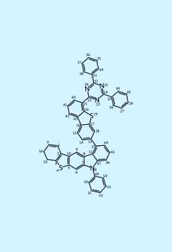 C1=Cc2c(sc3cc4c(cc23)c2c(-c3ccc5c(c3)sc3c(-c6nc(-c7ccccc7)nc(-c7ccccc7)n6)cccc35)cccc2n4-c2ccccc2)CC1